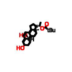 CC(OC(=O)C(C)(C)C)[C@H]1CCC2=C3C=CC4=CC(O)CC[C@]4(CO)[C@H]3CC[C@@]21C